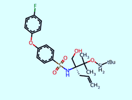 C=CC[C@@](CO)(NS(=O)(=O)c1ccc(Oc2ccc(F)cc2)cc1)C(C)(C)O[SiH2]C(C)(C)C